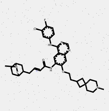 CN1CCC2(CC1)CC(CCOc1cc3ncnc(Nc4ccc(F)c(Cl)c4)c3cc1NC(=O)/C=C/CC1CC3CCC1CN3C)C2